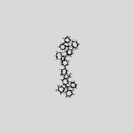 CC1(C)c2cc(-c3ccc4c(c3)c3c(n4-c4ccc5c(c4)C(c4ccccc4)(c4ccccc4)c4ccccc4-5)CCC=C3)ccc2-c2ccc([Si](c3ccccc3)(c3ccccc3)c3ccccc3)cc21